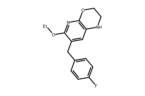 CCOc1nc2c(cc1Cc1ccc(F)cc1)NCCO2